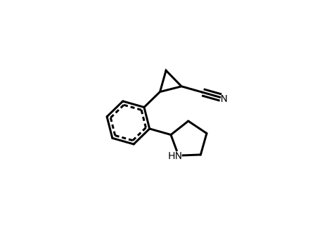 N#CC1CC1c1ccccc1C1CCCN1